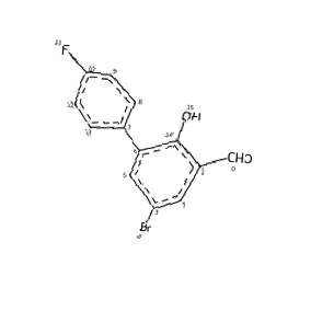 O=Cc1cc(Br)cc(-c2ccc(F)cc2)c1O